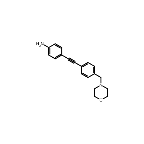 Nc1ccc(C#Cc2ccc(CN3CCOCC3)cc2)cc1